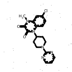 Cn1c(=O)c(=O)n(C2CCN(c3ncccn3)CC2)c2ccc(Cl)cc21